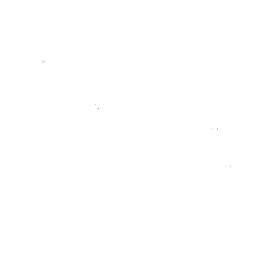 CC(=O)Oc1ccc(Cc2cnc(OC(F)F)c(-c3cccc(Cl)c3)c2)cc1C